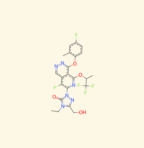 CCn1c(CO)nn(-c2nc(OC(C)C(F)(F)F)c3c(Oc4ccc(F)cc4C)nncc3c2F)c1=O